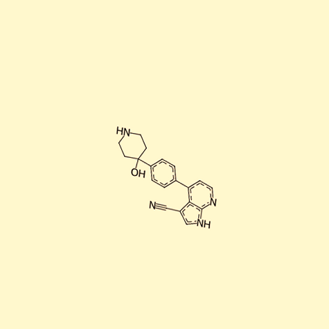 N#Cc1c[nH]c2nccc(-c3ccc(C4(O)CCNCC4)cc3)c12